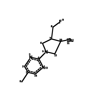 Cc1cnc(N2CC(CF)C(C(C)(C)C)C2)nc1